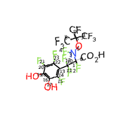 O=C(O)[C@@](F)(N(F)OC(C(F)(F)F)(C(F)(F)F)C(F)(F)F)C(F)(F)c1c(F)c(O)c(O)c(F)c1F